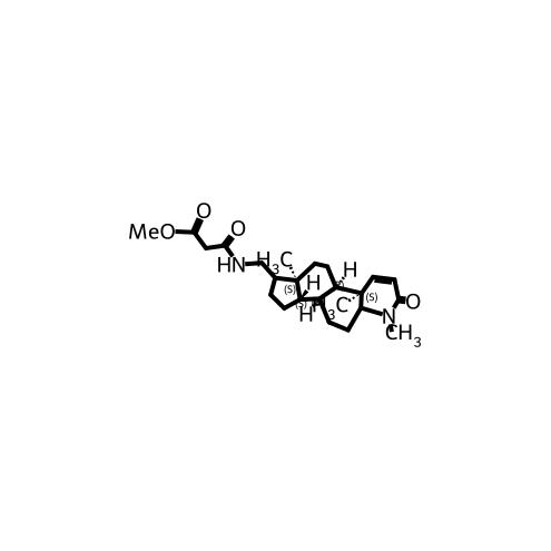 COC(=O)CC(=O)NCC1CC[C@H]2[C@@H]3CCC4N(C)C(=O)C=C[C@]4(C)[C@@H]3CC[C@]12C